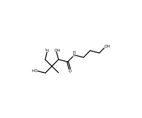 [2H]CC(C)(CO)C(O)C(=O)NCCCO